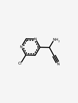 N#CC(N)c1cc(Cl)ncn1